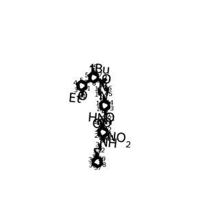 CCOc1cccc(-c2cc(C(=O)N3CCN(c4ccc(C(=O)NS(=O)(=O)c5ccc(NCCSc6ccccc6)c([N+](=O)[O-])c5)cc4)CC3)cc(C(C)(C)C)c2)c1